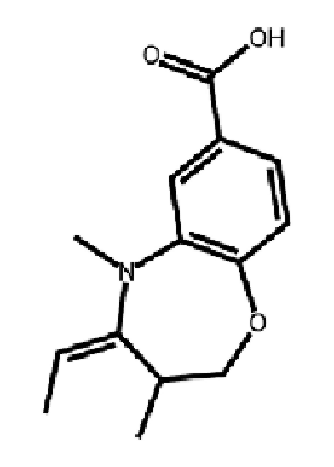 C/C=C1\C(C)COc2ccc(C(=O)O)cc2N1C